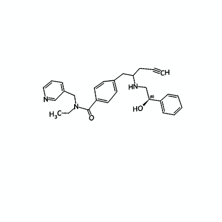 C#CCC(Cc1ccc(C(=O)N(CC)Cc2cccnc2)cc1)NC[C@H](O)c1ccccc1